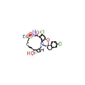 CC[C@@H]1CC/C=C/[C@H](O)[C@@H]2CC[C@H]2CN2C[C@@]3(CCCc4cc(Cl)ccc43)COc3cc(Cl)c(cc32)C(=O)NS1(=O)=O